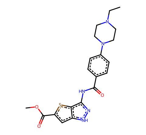 CCN1CCN(c2ccc(C(=O)Nc3n[nH]c4cc(C(=O)OC)sc34)cc2)CC1